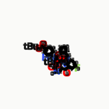 CN(CCC(=O)C1=CC(F)=CCC(N(C)Cc2ccccc2)=C1NC(=O)CC(=O)NC1=CC=C(C(=O)OC(C)(C)C)CC=C1)C(=O)OC(C)(C)C